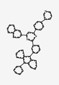 c1ccc(-c2c3ccccc3c(-c3cccc(-c4nc(-c5ccc(-c6cccnc6)cc5)cc(-c5ccc6ccccc6c5)n4)c3)c3ccccc23)cc1